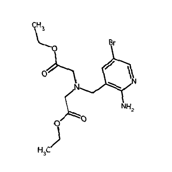 CCOC(=O)CN(CC(=O)OCC)Cc1cc(Br)cnc1N